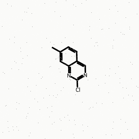 Cc1ccc2cnc(Cl)nc2c1